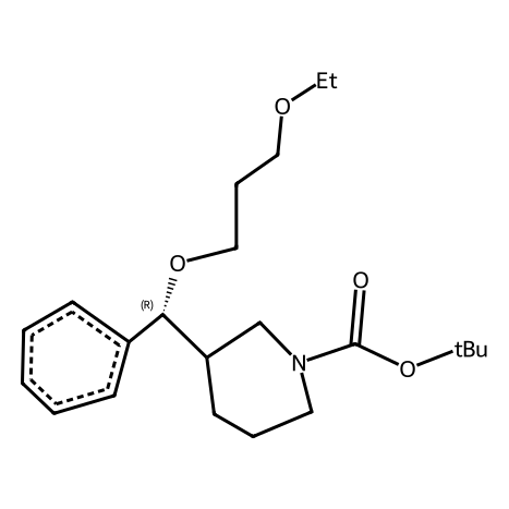 CCOCCCO[C@@H](c1ccccc1)C1CCCN(C(=O)OC(C)(C)C)C1